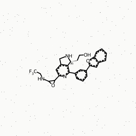 OCC[C@H]1NCc2cc(C3OC3NCC(F)(F)F)nc(-c3cccc(-c4cc5ccccc5o4)c3)c21